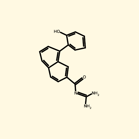 NC(N)=NC(=O)c1ccc2cccc(-c3ccccc3O)c2c1